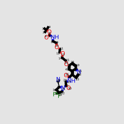 CC(C)(C)OC(=O)NCCOCCOCCOc1ccc2nccc(C(=O)NCC(=O)N3CC(F)(F)C[C@H]3C#N)c2c1